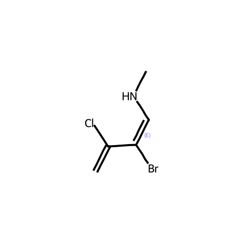 C=C(Cl)/C(Br)=C\NC